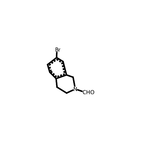 O=CN1CCc2ccc(Br)cc2C1